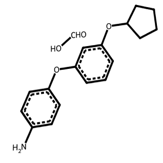 Nc1ccc(Oc2cccc(OC3CCCC3)c2)cc1.O=CO